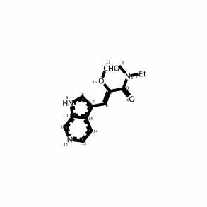 CCN(C)C(=O)/C(=C/c1c[nH]c2cnccc12)OC=O